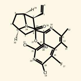 C=C[C@@H]1[C@@H]2CC[C@H](CN1c1nc(C)c(C)c3c(F)c(Cl)nc(Cl)c13)N2C(=O)OC(C)(C)C